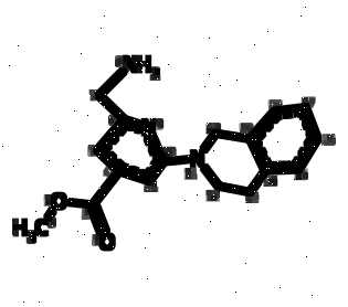 COC(=O)c1cc(CN)nc(N2CCc3ccccc3C2)c1